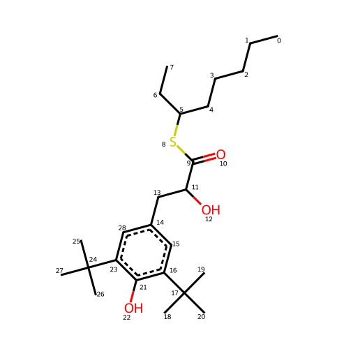 CCCCCC(CC)SC(=O)C(O)Cc1cc(C(C)(C)C)c(O)c(C(C)(C)C)c1